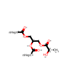 CCCCCCCC(=O)OCC(COC(=O)[C@H](C)O)OC(=O)CCCCCCC